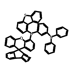 c1ccc(N(c2ccccc2)c2cccc(N(c3cccc4c3Oc3ccccc3C43c4ccccc4-c4ccccc43)c3cccc4sc5ccccc5c34)c2)cc1